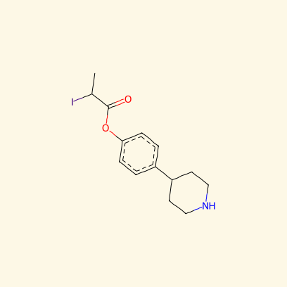 CC(I)C(=O)Oc1ccc(C2CCNCC2)cc1